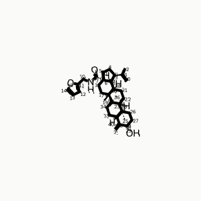 C=C(C)[C@@H]1CC[C@]2(C(=O)NCc3ccco3)CC[C@]3(C)[C@H](CC[C@@H]4[C@@]5(C)CC[C@H](O)C(=C)[C@@H]5CC[C@]43C)[C@@H]12